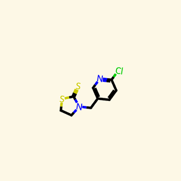 S=C1SCCN1Cc1ccc(Cl)nc1